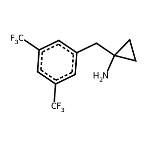 NC1(Cc2cc(C(F)(F)F)cc(C(F)(F)F)c2)CC1